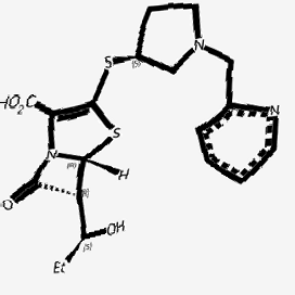 CC[C@H](O)[C@@H]1C(=O)N2C(C(=O)O)=C(S[C@H]3CCN(Cc4ccccn4)C3)S[C@H]12